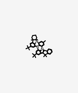 Cc1cc2c3c(c1)-n1c4c(c5cc(C(C)(C)C)cc(c51)B3c1cc(C(C)(C)C)cc3c1N2C1(C)CCCCC31C)C(C)(C)c1ccccc1-4